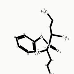 CCCC(C)P(=O)(Oc1ccccc1)C(C)CCC